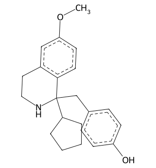 COc1ccc2c(c1)CCNC2(Cc1ccc(O)cc1)C1CCCC1